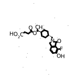 CC(OC(=O)CCC(=O)O)[C@H]1CC[C@H](CN2Cc3ccc(O)c(F)c3C2=O)CC1